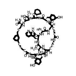 CCC[C@@H]1NC(=O)[C@H](Cc2c[nH]c3ncccc23)NC(=O)[C@H]([C@@H](C)O)NC(=O)[C@@H]2CCCNC(=O)CCC[C@H](NC1=O)C(=O)N[C@@H](Cc1ccc(O)cc1)C(=O)N[C@@H](C1CCCCC1)C(=O)N[C@@H]([C@@H](C)O)C(=O)N[C@H](C(N)=O)CSCc1cccc(c1)CSCCC(=O)N[C@@H](C(C)(C)C)C(=O)N[C@@H](Cc1ccc(O)cc1)C(=O)N2